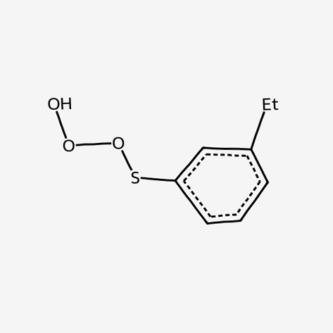 CCc1cccc(SOOO)c1